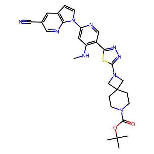 CNc1cc(-n2ccc3cc(C#N)cnc32)ncc1-c1nnc(N2CC3(CCN(C(=O)OC(C)(C)C)CC3)C2)s1